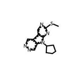 CSc1ncc2c3cnncc3n(C3CCCC3)c2n1